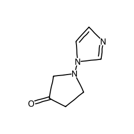 O=C1CCN(n2ccnc2)C1